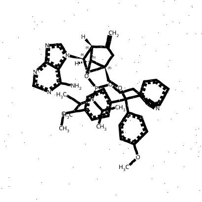 C=C1C[C@]2(COC(c3ccccc3)(c3ccc(OC)cc3)c3ccc(OC)cc3)O[C@@H](n3cnc4ncnc(N)c43)[C@H]1[C@@H]2OP(OCCC#N)N(C(C)C)C(C)C